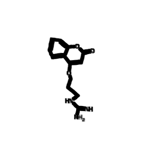 N=C(N)NCCCOc1cc(=O)oc2ccccc12